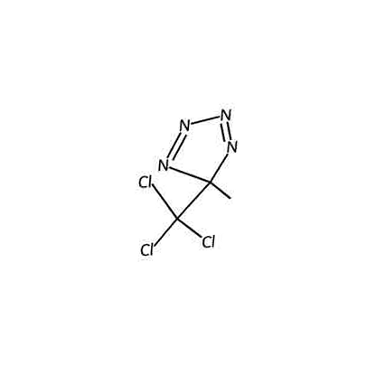 CC1(C(Cl)(Cl)Cl)N=NN=N1